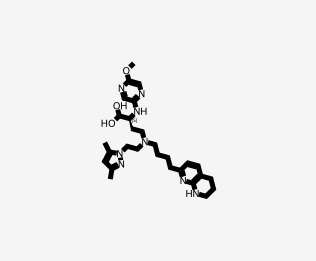 COc1cnc(N[C@@H](CCN(CCCCc2ccc3c(n2)NCCC3)CCn2nc(C)cc2C)C(O)O)cn1